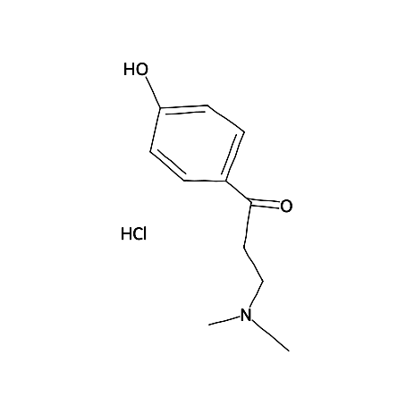 CN(C)CCC(=O)c1ccc(O)cc1.Cl